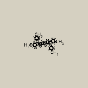 Cc1ccc(-n2c3cc(C)ccc3c3oc4c5sc6c(oc7c8ccc(C)cc8n(-c8ccc(C)cc8)c76)c5sc4c32)cc1